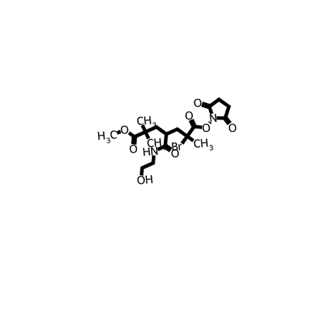 COC(=O)C(C)(C)CC(CC(C)(Br)C(=O)ON1C(=O)CCC1=O)C(=O)NCCO